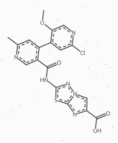 COc1cnc(Cl)cc1-c1cc(C)ncc1C(=O)Nc1nn2cc(C(=O)O)nc2s1